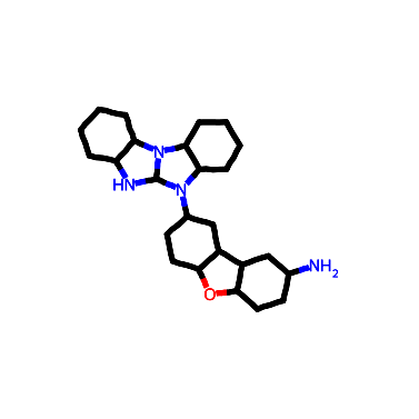 NC1CCC2OC3CCC(N4C5CCCCC5N5C6CCCCC6NC45)CC3C2C1